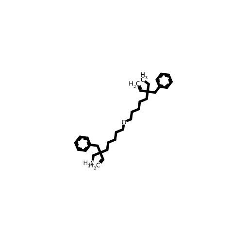 C=CC(CC)(CCCCCOCCCCCC(C=C)(CC)Cc1ccccc1)Cc1ccccc1